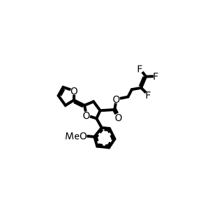 COc1ccccc1C1OC(=C2CC=CO2)CC1C(=O)OCCC(F)=C(F)F